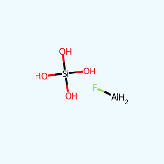 O[Si](O)(O)O.[F][AlH2]